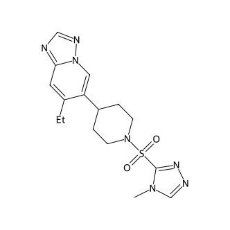 CCc1cc2ncnn2cc1C1CCN(S(=O)(=O)c2nncn2C)CC1